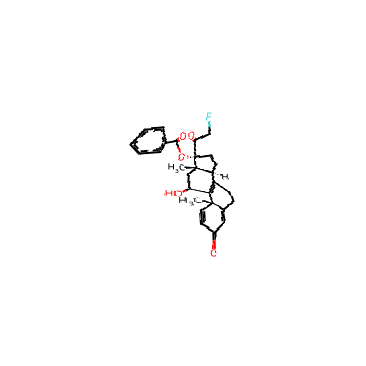 C[C@]12C=CC(=O)C=C1CCC1=C2C(O)C[C@@]2(C)[C@H]1CC[C@]2(OC(=O)c1ccccc1)C(=O)CF